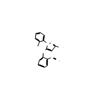 CCc1ccccc1-n1nc(C)cc1Oc1ccccc1N=C=O